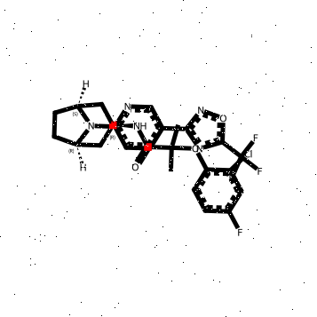 CC(C)(Oc1ccc(F)cc1Cl)C(=O)N[C@H]1C[C@H]2CC[C@@H](C1)N2c1ccc(-c2noc(C(F)(F)F)n2)cn1